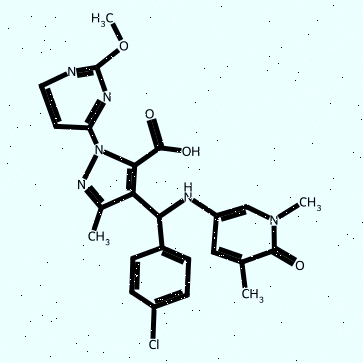 COc1nccc(-n2nc(C)c(C(Nc3cc(C)c(=O)n(C)c3)c3ccc(Cl)cc3)c2C(=O)O)n1